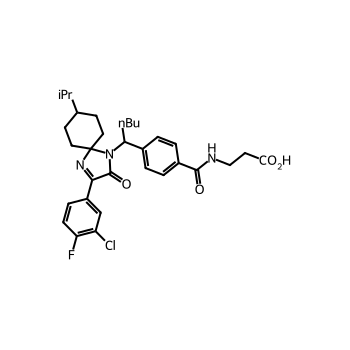 CCCCC(c1ccc(C(=O)NCCC(=O)O)cc1)N1C(=O)C(c2ccc(F)c(Cl)c2)=NC12CCC(C(C)C)CC2